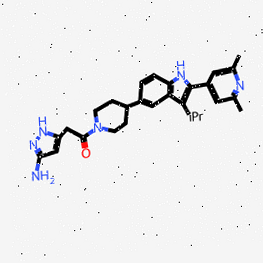 Cc1cc(-c2[nH]c3ccc(C4CCN(C(=O)Cc5cc(N)n[nH]5)CC4)cc3c2C(C)C)cc(C)n1